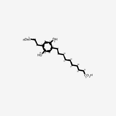 CCCCCCCCCCCCc1cc(O)c(CCCCCCCCCC(=O)O)cc1O